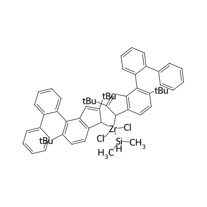 C[SiH](C)[Zr]([Cl])([Cl])([CH]1C(C(C)(C)C)=Cc2c1ccc(C(C)(C)C)c2-c1ccccc1-c1ccccc1)[CH]1C(C(C)(C)C)=Cc2c1ccc(C(C)(C)C)c2-c1ccccc1-c1ccccc1